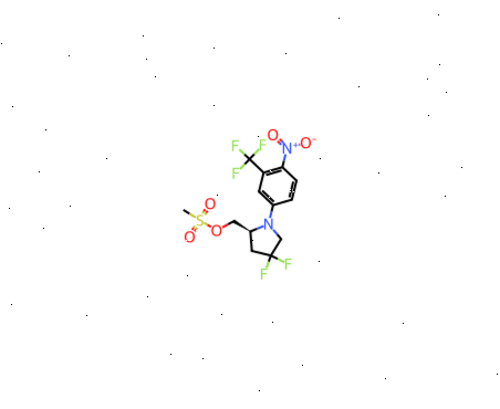 CS(=O)(=O)OC[C@@H]1CC(F)(F)CN1c1ccc([N+](=O)[O-])c(C(F)(F)F)c1